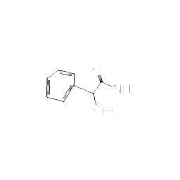 [NH]C(=O)C(C=O)c1ccccc1